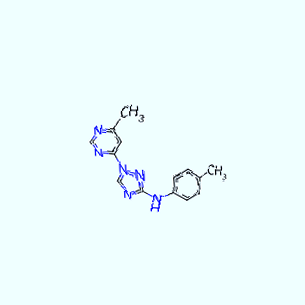 Cc1ccc(Nc2ncn(-c3cc(C)ncn3)n2)cc1